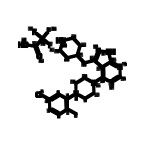 Cc1ccc(Cl)cc1N1CCN(c2ncnc3[nH]nc(CC4CCNCC4)c23)CC1.O=C(O)C(F)(F)F